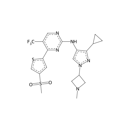 CN1CC(n2cc(Nc3ncc(C(F)(F)F)c(-c4cc(S(C)(=O)=O)cs4)n3)c(C3CC3)n2)C1